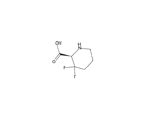 O=C(O)[C@H]1NCCCC1(F)F